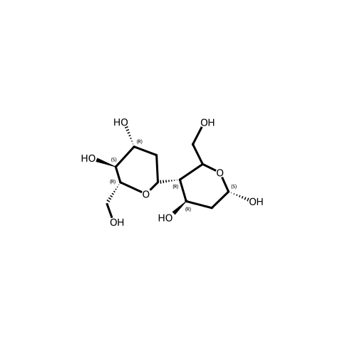 OCC1O[C@H](O)C[C@@H](O)[C@@H]1C1C[C@@H](O)[C@H](O)[C@@H](CO)O1